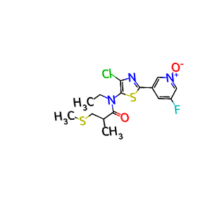 CCN(C(=O)C(C)CSC)c1sc(-c2cc(F)c[n+]([O-])c2)nc1Cl